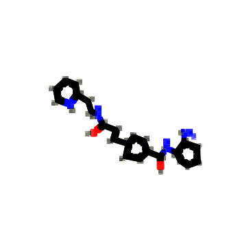 Nc1ccccc1NC(=O)c1ccc(C=CC(=O)NCCc2ccccn2)cc1